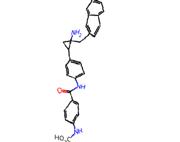 NC1(Cc2ccc3ccccc3c2)CC1c1ccc(NC(=O)c2ccc(NC(=O)O)cc2)cc1